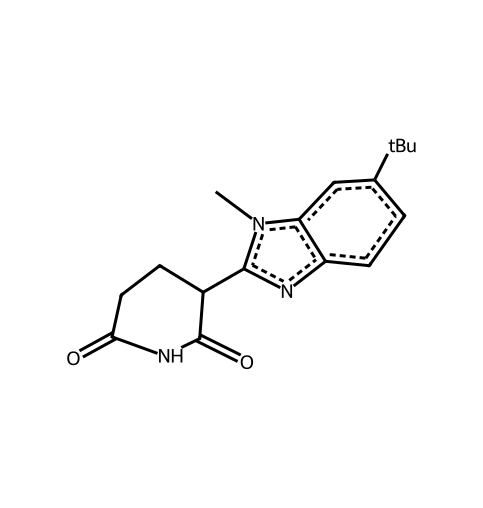 Cn1c(C2CCC(=O)NC2=O)nc2ccc(C(C)(C)C)cc21